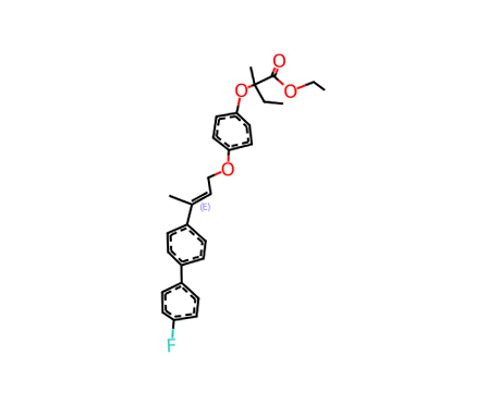 CCOC(=O)C(C)(CC)Oc1ccc(OC/C=C(\C)c2ccc(-c3ccc(F)cc3)cc2)cc1